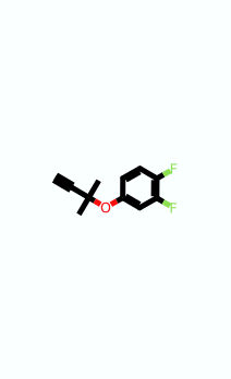 C#CC(C)(C)Oc1ccc(F)c(F)c1